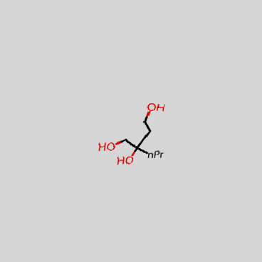 CCCC(O)(CO)CCO